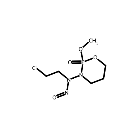 COP1(=O)OCCCN1N(CCCl)N=O